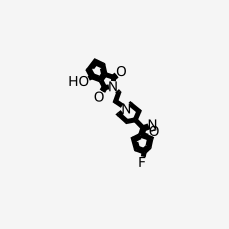 O=C1c2cccc(O)c2C(=O)N1CCN1CCC(c2noc3cc(F)ccc23)CC1